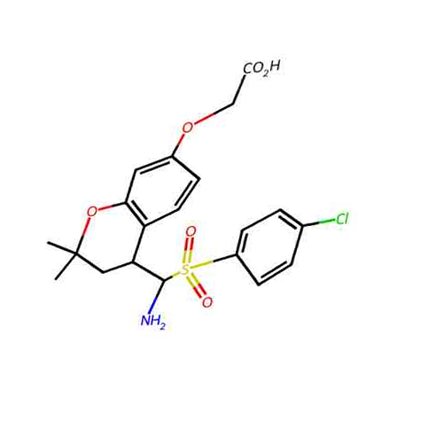 CC1(C)CC(C(N)S(=O)(=O)c2ccc(Cl)cc2)c2ccc(OCC(=O)O)cc2O1